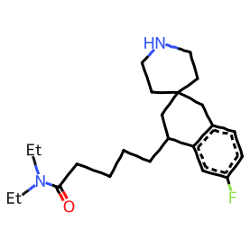 CCN(CC)C(=O)CCCCC1CC2(CCNCC2)Cc2ccc(F)cc21